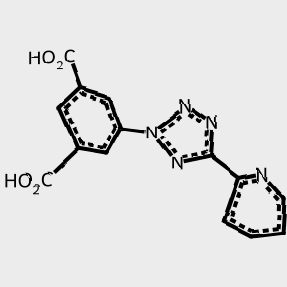 O=C(O)c1cc(C(=O)O)cc(-n2nnc(-c3ccccn3)n2)c1